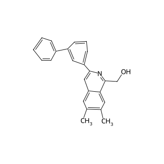 Cc1cc2cc(-c3cccc(-c4ccccc4)c3)nc(CO)c2cc1C